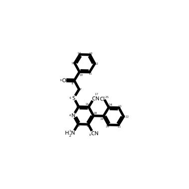 N#Cc1c(N)nc(SCC(=O)c2ccccc2)c(C#N)c1-c1ccccc1Cl